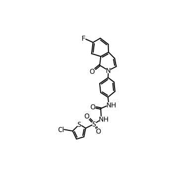 O=C(Nc1ccc(-n2ccc3ccc(F)cc3c2=O)cc1)NS(=O)(=O)c1ccc(Cl)s1